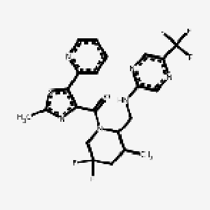 Cc1nc(C(=O)N2CC(F)(F)CC(C)C2CNc2cnc(C(F)(F)F)cn2)c(-c2ccccn2)s1